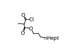 CCCCCCCCCCOC(=O)C(C)C(=O)Cl